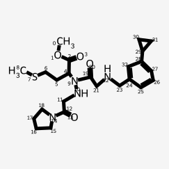 COC(=O)C(CCSC)N(NCC(=O)N1CCCC1)C(=O)CNCc1cccc(C2CC2)c1